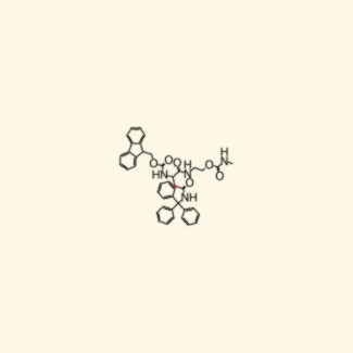 CNC(=O)OCCNC(=O)C(CC(=O)NC(c1ccccc1)(c1ccccc1)c1ccccc1)NC(=O)OCC1c2ccccc2-c2ccccc21